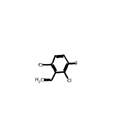 C=Cc1c(Cl)ccc(F)c1Cl